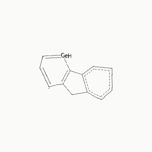 [C]1=C[CH]=[GeH][C]2=C1Cc1ccccc12